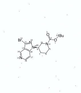 CC(C)(C)OC(=O)N1CCC[C@@H](n2nc(Br)c3cnccc32)C1